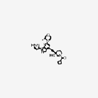 C[C@@H]1COCCN1c1cc(C#CC2(O)CCCN(C(=O)C3CCC3)C2)c2cnn(-c3cc[nH]n3)c2n1